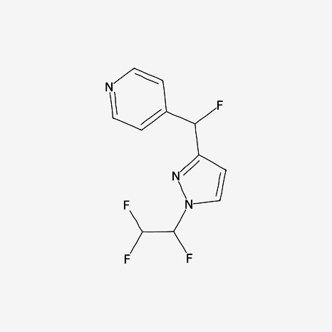 FC(c1ccncc1)c1ccn(C(F)C(F)F)n1